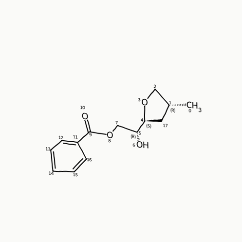 C[C@H]1CO[C@H]([C@H](O)COC(=O)c2ccccc2)C1